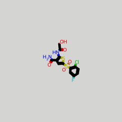 NC(=O)c1cc(S(=O)(=O)c2cc(F)ccc2Cl)sc1NC(=O)CO